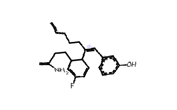 C=CCCC/C(=C/c1cccc(O)c1)C1C=CC(F)=CC1CCC(=C)N